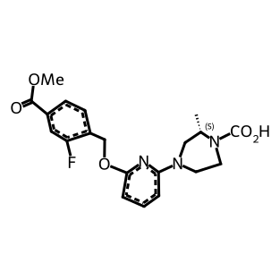 COC(=O)c1ccc(COc2cccc(N3CCN(C(=O)O)[C@@H](C)C3)n2)c(F)c1